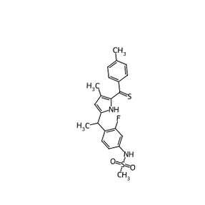 Cc1ccc(C(=S)c2[nH]c(C(C)c3ccc(NS(C)(=O)=O)cc3F)cc2C)cc1